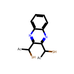 CC(=O)C(S)c1nc2ccccc2nc1C(S)C(C)=O